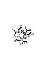 C=C[Si]1(C(C)C)C[Si](C=C)(C(C)C)O[Si](C=C)(C(C)C)O1